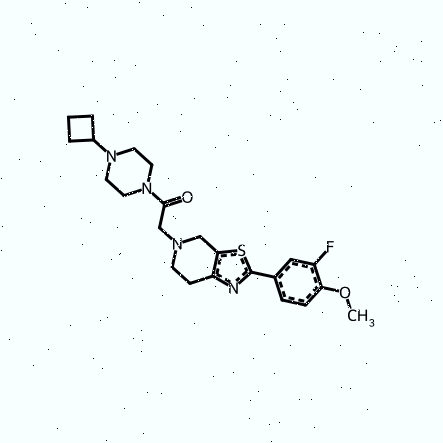 COc1ccc(-c2nc3c(s2)CN(CC(=O)N2CCN(C4CCC4)CC2)CC3)cc1F